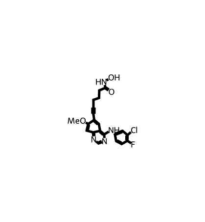 COc1cc2ncnc(Nc3ccc(F)c(Cl)c3)c2cc1C#CCCCC(=O)NO